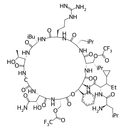 CCC(C1CC1)[C@H](NC(=O)[C@H](N)CC(C)C)C(=O)N[C@@H]1C(=O)N[C@@H]([C@H](OC(=O)C(F)(F)F)C(C)C)C(=O)N[C@@H](CC(C)C)C(=O)N[C@H](CCCNC(=N)N)C(=O)N[C@@H]([C@@H](C)CC)C(=O)N[C@@H]([C@H](C)O)C(=O)NCC(=O)N[C@@H]([C@H](O)C(N)=O)C(=O)N[C@@H](COC(=O)C(F)(F)F)C(=O)O[C@@H]1c1ccccc1